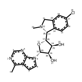 Cc1ncnc2c1ccn2[C@@H]1O[C@H]([C@H]2c3ccc(Cl)cc3CN2C)[C@@H](O)[C@H]1O